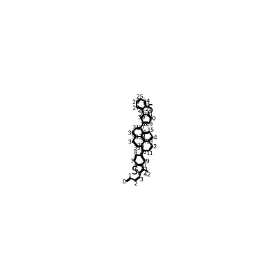 C=C/C=C\c1sc2ccc(-c3ccc4ccc5c(-c6ccc7sc8ccccc8c7c6)ccc6ccc3c4c65)cc2c1C